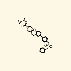 CC(OC(=O)N1CCC2(CCc3cc(-c4ccc(CS(=O)(=O)Cc5ccccc5)cc4)ccc3O2)CC1)C1CC1